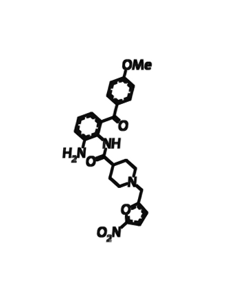 COc1ccc(C(=O)c2cccc(N)c2NC(=O)C2CCN(Cc3ccc([N+](=O)[O-])o3)CC2)cc1